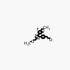 CCCc1c(F)cc(-c2ncc(CCOCC)nc2-c2ccc(CCC=O)cc2)cc1F